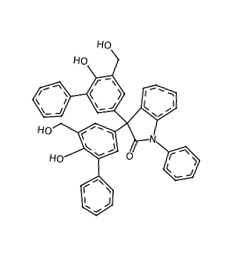 O=C1N(c2ccccc2)c2ccccc2C1(c1cc(CO)c(O)c(-c2ccccc2)c1)c1cc(CO)c(O)c(-c2ccccc2)c1